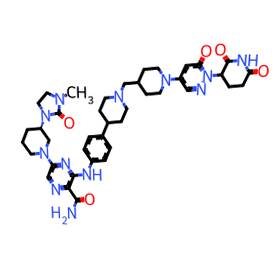 CN1CCN([C@@H]2CCCN(c3cnc(C(N)=O)c(Nc4ccc(C5CCN(CC6CCN(c7cnn(C8CCC(=O)NC8=O)c(=O)c7)CC6)CC5)cc4)n3)C2)C1=O